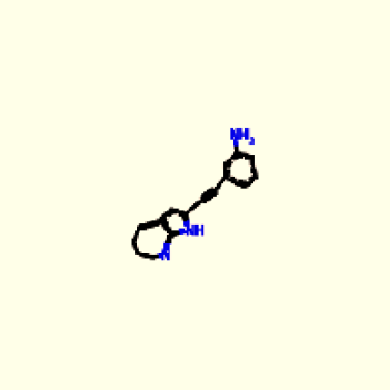 Nc1cccc(C#Cc2cc3c([nH]2)=NCCCC=3)c1